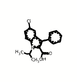 CC(C)n1c(C(=O)O)c(-c2ccccc2)c2cc(Cl)ccc21